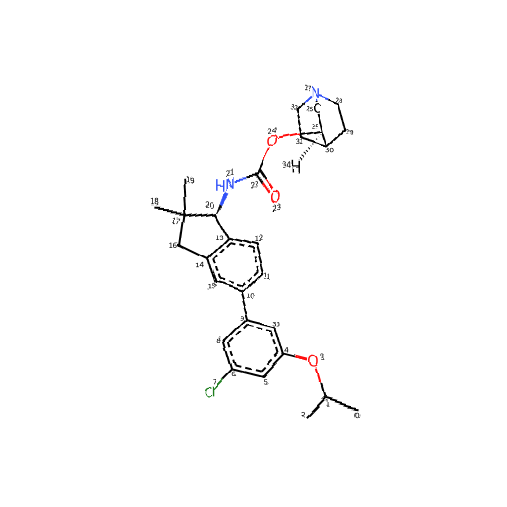 CC(C)Oc1cc(Cl)cc(-c2ccc3c(c2)CC(C)(C)[C@H]3NC(=O)O[C@H]2CN3CCC2CC3)c1